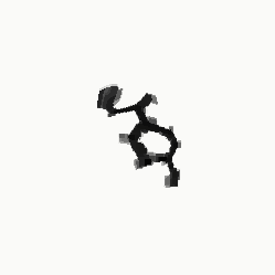 CC(CO)c1ccc(Br)nc1